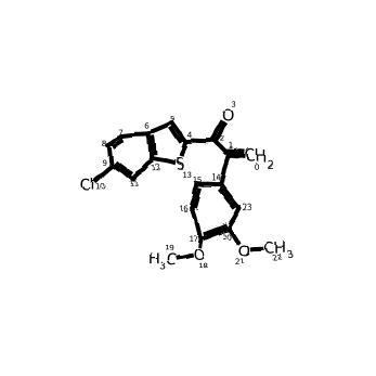 C=C(C(=O)c1cc2ccc(Cl)cc2s1)c1ccc(OC)c(OC)c1